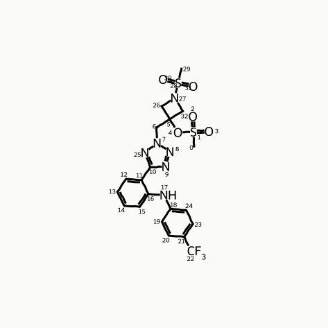 CS(=O)(=O)OC1(Cn2nnc(-c3ccccc3Nc3ccc(C(F)(F)F)cc3)n2)CN(S(C)(=O)=O)C1